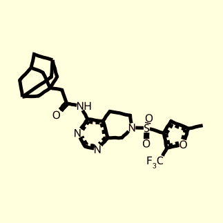 Cc1cc(S(=O)(=O)N2CCc3c(ncnc3NC(=O)CC34CC5CC(CC(C5)C3)C4)C2)c(C(F)(F)F)o1